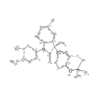 Cc1cc(N2C(=O)[C@@](C)(c3ccc4c(c3)CCC(C)(C)O4)c3cc(Cl)ccc32)ccc1C(=O)O